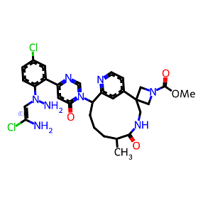 COC(=O)N1CC2(CNC(=O)C(C)CCCC(n3cnc(-c4cc(Cl)ccc4N(N)/C=C(\N)Cl)cc3=O)c3cc2ccn3)C1